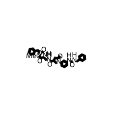 COC(=O)C(CNC(=O)C1CC(=O)N(c2cccc(NC(=O)NCc3ccccc3)c2)C1)NC(=O)OCc1ccccc1